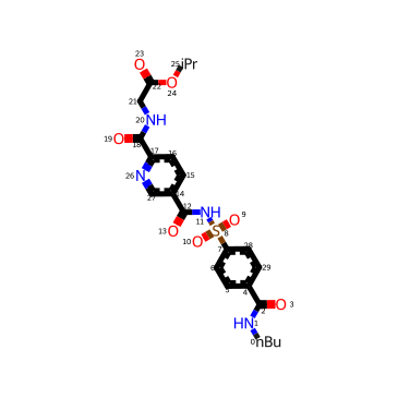 CCCCNC(=O)c1ccc(S(=O)(=O)NC(=O)c2ccc(C(=O)NCC(=O)OC(C)C)nc2)cc1